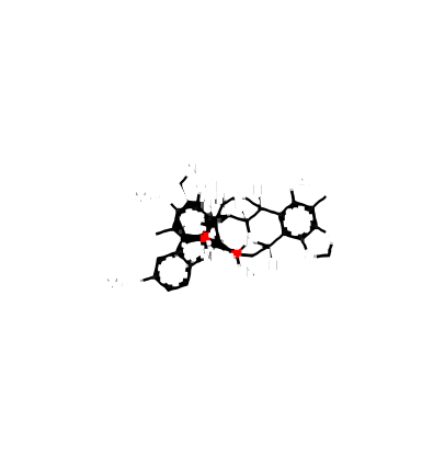 CCN1CC2(C#N)Cc3cc(C)c(OC)c(O)c3[C@H]1[C@@H]1[C@@H]3SC[C@]4(N[C@H](CN)Cc5c4[nH]c4ccc(OC)cc54)C(=O)OC[C@@H](c4c5c(c(C)c(OC(C)=O)c43)OCO5)N12